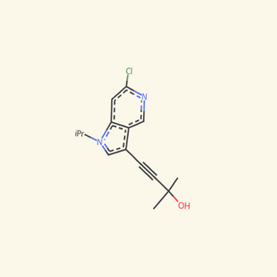 CC(C)n1cc(C#CC(C)(C)O)c2cnc(Cl)cc21